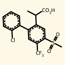 CC(C(=O)O)c1cc(S(C)(=O)=O)c(C(F)(F)F)cc1-c1ccccc1Cl